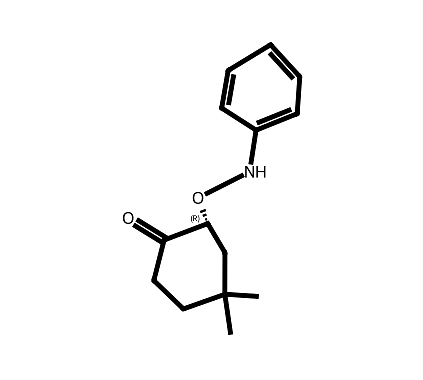 CC1(C)CCC(=O)[C@H](ONc2ccccc2)C1